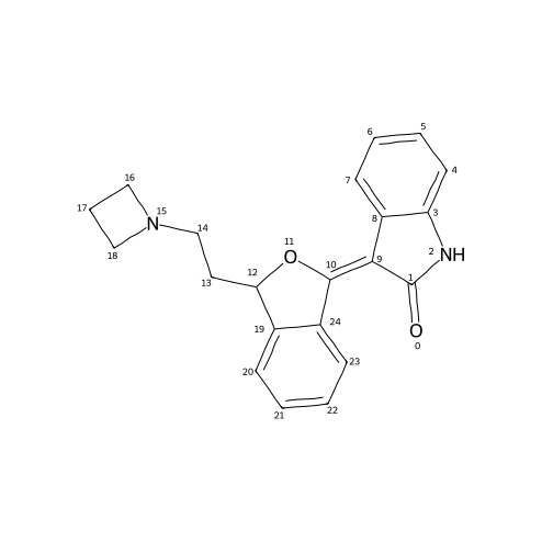 O=C1Nc2ccccc2C1=C1OC(CCN2CCC2)c2ccccc21